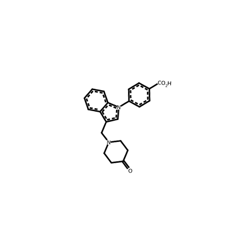 O=C1CCN(Cc2cn(-c3ccc(C(=O)O)cc3)c3ccccc23)CC1